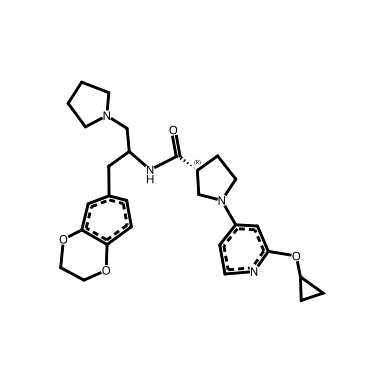 O=C(NC(Cc1ccc2c(c1)OCCO2)CN1CCCC1)[C@@H]1CCN(c2ccnc(OC3CC3)c2)C1